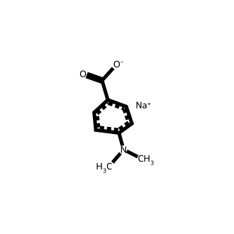 CN(C)c1ccc(C(=O)[O-])cc1.[Na+]